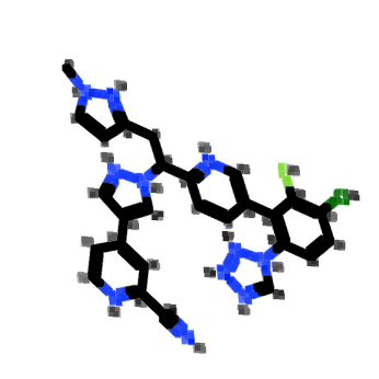 Cn1ccc(CC(c2ccc(-c3c(-n4cnnn4)ccc(Cl)c3F)cn2)n2cc(-c3ccnc(C#N)c3)cn2)n1